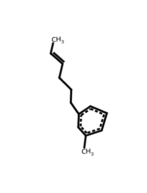 C/C=C/CCCc1cccc(C)c1